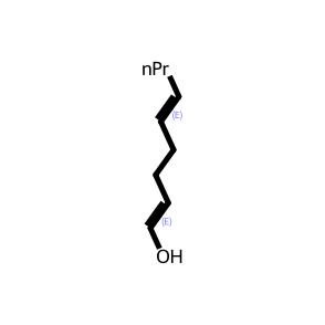 CCC/C=C/CC/C=C/O